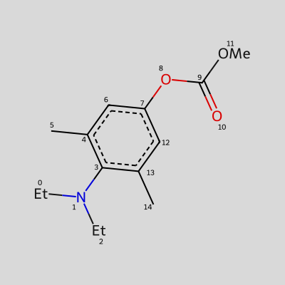 CCN(CC)c1c(C)cc(OC(=O)OC)cc1C